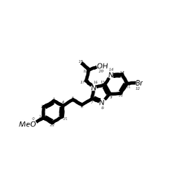 COc1ccc(CCc2nc3cc(Br)cnc3n2CC(C)O)cc1